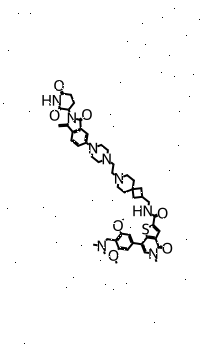 C=C1c2ccc(N3CCN(CCN4CCC5(CC4)CC(CNC(=O)c4cc6c(=O)n(C)cc(-c7cc(OC)c(CN(C)C)c(OC)c7)c6s4)C5)CC3)cc2C(=O)N1C1CCC(=O)NC1=O